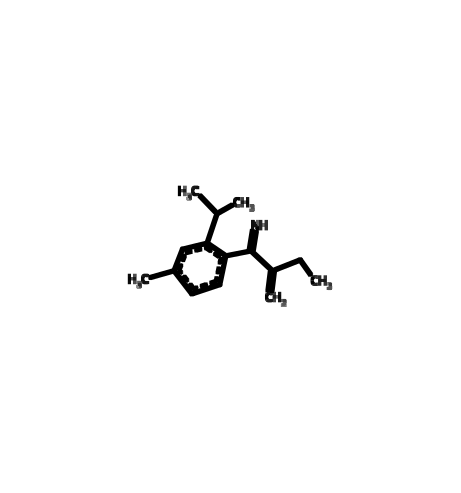 C=C(CC)C(=N)c1ccc(C)cc1C(C)C